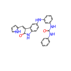 O=C(Nc1ccccc1)Nc1cccc(Nc2ccc3c(c2)C(=Cc2ccc[nH]2)C(=O)N3)c1